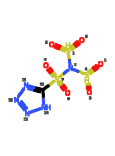 O=[SH](=O)N([SH](=O)=O)S(=O)(=O)c1nnn[nH]1